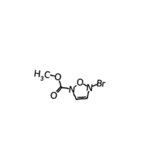 COC(=O)N1C=CN(Br)O1